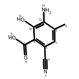 Cc1cc(C#N)c(C(=O)O)c(O)c1N